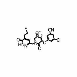 N#Cc1cc(Cl)cc(OC2=CN(C(F)(F)F)CN(Cc3cc(CCF)c(=O)[nH]n3)C2=O)c1